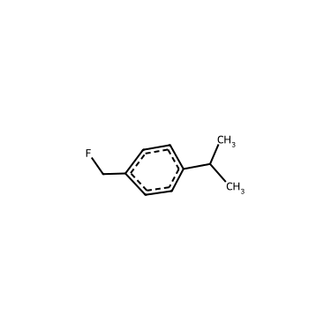 CC(C)c1ccc(CF)cc1